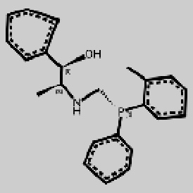 Cc1ccccc1[P@@](CN[C@@H](C)[C@H](O)c1ccccc1)c1ccccc1